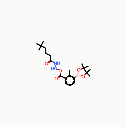 Cc1c(B2OC(C)(C)C(C)(C)O2)cccc1C(=O)ONNC(=O)CCCC(C)(C)C